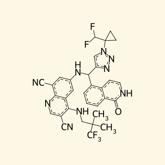 CC(C)(CNc1c(C#N)cnc2c(C#N)cc(NC(c3cn(C4(C(F)F)CC4)nn3)c3cccc4c(=O)[nH]ccc34)cc12)C(F)(F)F